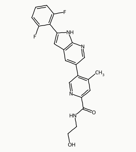 Cc1cc(C(=O)NCCO)ncc1-c1cnc2[nH]c(-c3c(F)cccc3F)cc2c1